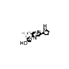 Cc1cn2nc(C3CCCCN3)cc2nc1N1CC(O)C1